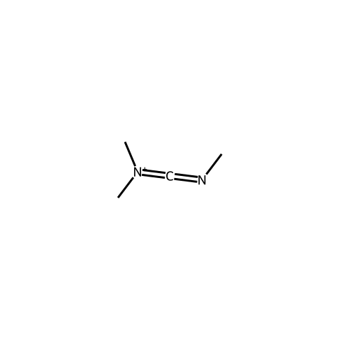 CN=C=[N+](C)C